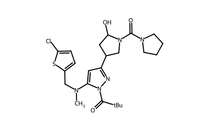 CN(Cc1ccc(Cl)s1)c1cc(C2CC(O)N(C(=O)N3CCCC3)C2)nn1C(=O)C(C)(C)C